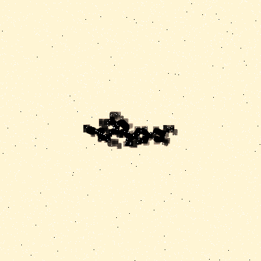 Cc1cc(C#N)nn1-c1nc(-c2cnn3cc(N4C[C@@H](N)[C@H](F)C4)ccc23)ccc1C(C)O